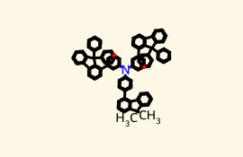 CC1(C)c2ccccc2-c2c(-c3ccc(N(c4cccc(-c5cccc6c5C(c5ccccc5)(c5ccccc5)c5ccccc5-6)c4)c4cccc(-c5cccc6c5C(c5ccccc5)(c5ccccc5)c5ccccc5-6)c4)cc3)cccc21